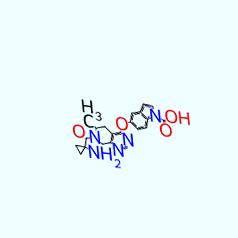 CC1Cc2c(ncnc2Oc2ccc3c(ccn3C(=O)O)c2)CN1C(=O)C1(N)CC1